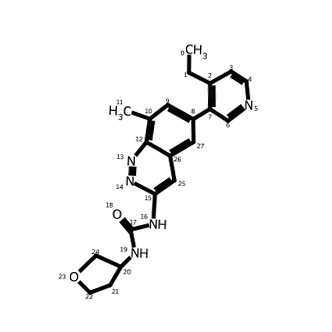 CCc1ccncc1-c1cc(C)c2nnc(NC(=O)NC3CCOC3)cc2c1